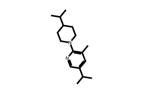 Cc1cc(C(C)C)cnc1N1CCC(C(C)C)CC1